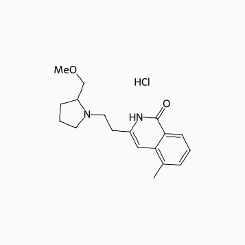 COCC1CCCN1CCc1cc2c(C)cccc2c(=O)[nH]1.Cl